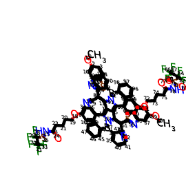 COc1ccc2sc(/C(C#N)=c3/c4c(-c5ccc(OCCCCC(=O)NSC(F)(F)C(F)(F)F)cc5)n(B(c5ccccc5)c5ccccc5)/c(=C(\C#N)c5nc6cc(OC)ccc6s5)c4c(-c4ccc(OCCCCC(=O)NS(=O)(=O)C(F)(F)C(F)(F)F)cc4)n3B(c3ccccc3)c3ccccc3)nc2c1